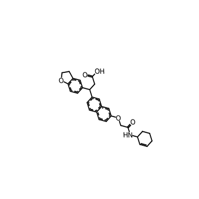 O=C(O)CC(c1ccc2c(c1)CCO2)c1ccc2ccc(OCC(=O)NC3C=CCCC3)cc2c1